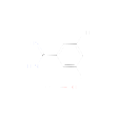 Cc1cc(C)cc(C(=N)N)c1.O=CO